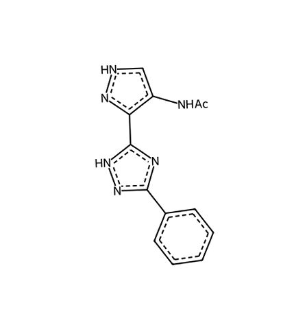 CC(=O)Nc1c[nH]nc1-c1nc(-c2ccccc2)n[nH]1